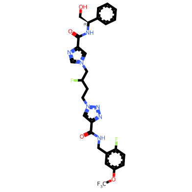 O=C(NCc1cc(OC(F)(F)F)ccc1F)c1cn(CCC(F)Cn2cnc(C(=O)N[C@@H](CO)c3ccccc3)c2)nn1